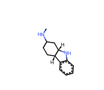 CNC1CC[C@H]2c3ccccc3N[C@H]2C1